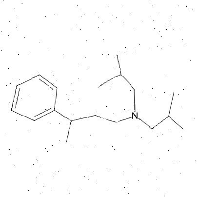 CC(C)CN(CCC(C)c1ccccc1)CC(C)C